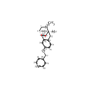 CN1CC[C@@]23CCCC[C@@H]2[C@@H]1Cc1ccc(OCc2ccncc2)cc13